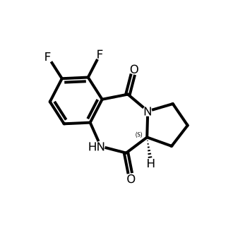 O=C1Nc2ccc(F)c(F)c2C(=O)N2CCC[C@@H]12